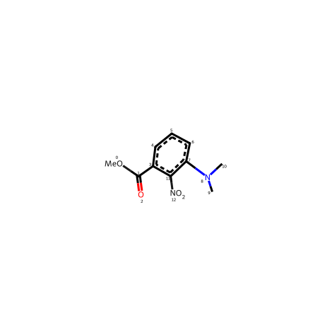 COC(=O)c1cccc(N(C)C)c1[N+](=O)[O-]